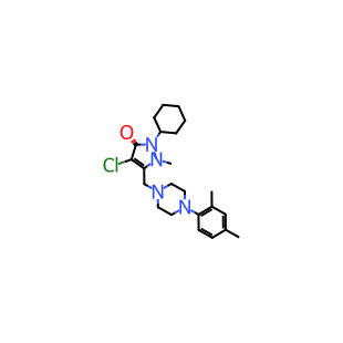 Cc1ccc(N2CCN(Cc3c(Cl)c(=O)n(C4CCCCC4)n3C)CC2)c(C)c1